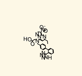 CCc1cc(N(CC(=O)O)Cc2ccc(-c3ccccc3-c3nnn[nH]3)cc2)n2ncc([N+](=O)[O-])c2n1